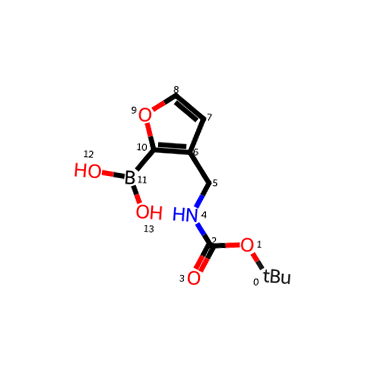 CC(C)(C)OC(=O)NCc1ccoc1B(O)O